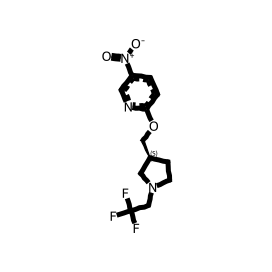 O=[N+]([O-])c1ccc(OC[C@H]2CCN(CC(F)(F)F)C2)nc1